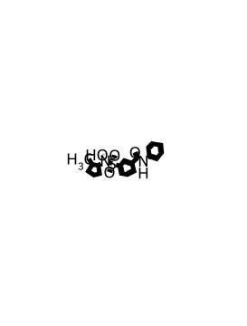 CC1CCCC1N(O)S(=O)(=O)c1cccc(C(=O)Nc2ccccc2)c1